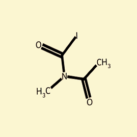 CC(=O)N(C)C(=O)I